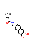 O=C(O)C=CC(=O)NCc1ccc2cc(O)c(O)cc2c1